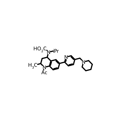 CC(=O)N1c2ccc(-c3ccc(CN4CCCCC4)cn3)cc2C(N(C(=O)O)C(C)C)CC1C